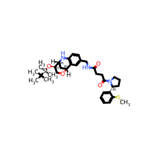 CSc1ccccc1[C@H]1CCCN1C(=O)CCC(=O)NCc1ccc2c(c1)[C@H]1C[C@@H](N2)[C@H](O[Si](C)(C)C(C)(C)C)CO1